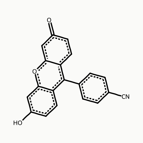 N#Cc1ccc(-c2c3ccc(=O)cc-3oc3cc(O)ccc23)cc1